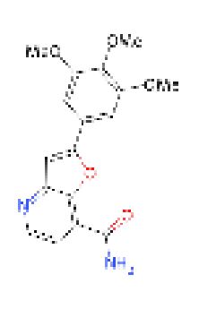 COc1cc(-c2cc3nccc(C(N)=O)c3o2)cc(OC)c1OC